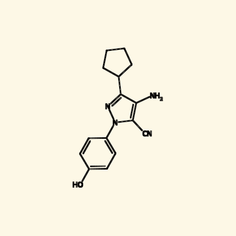 N#Cc1c(N)c(C2CCCC2)nn1-c1ccc(O)cc1